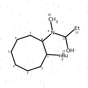 CCCCC1CCCCCCC1N(C)C(O)CC